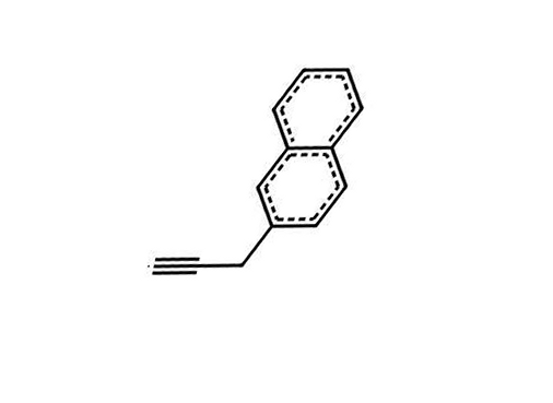 [C]#CCc1ccc2ccccc2c1